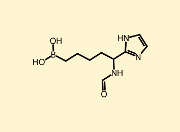 O=CNC(CCCCB(O)O)c1ncc[nH]1